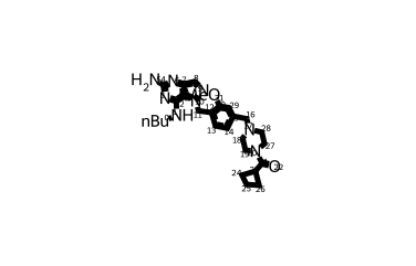 CCCCNc1nc(N)nc2cnn(Cc3ccc(CN4CCN(C(=O)C5CCC5)CC4)cc3OC)c12